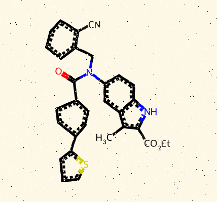 CCOC(=O)c1[nH]c2ccc(N(Cc3ccccc3C#N)C(=O)c3ccc(-c4cccs4)cc3)cc2c1C